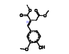 COC(=O)C/C(=C\c1ccc(O)c(OC)c1)C(=O)OC